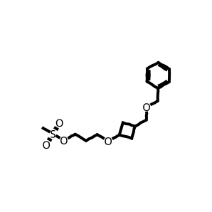 CS(=O)(=O)OCCCOC1CC(COCc2ccccc2)C1